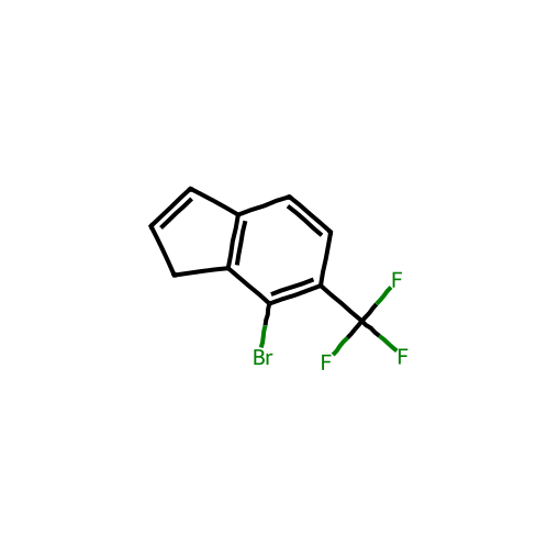 FC(F)(F)c1ccc2c(c1Br)CC=C2